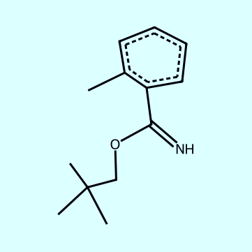 Cc1ccccc1C(=N)OCC(C)(C)C